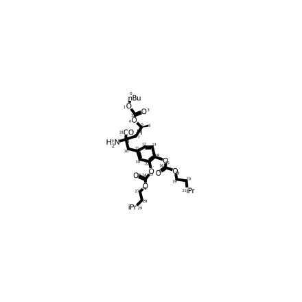 CCCCOC(=O)O[C@@H](C)CC(N)(Cc1ccc(OC(=O)OCCC(C)C)c(OC(=O)OCCC(C)C)c1)C(=O)O